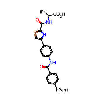 CCCCCc1ccc(C(=O)Nc2ccc(-c3csc(C(=O)NC(C(=O)O)C(C)C)n3)cc2)cc1